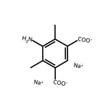 Cc1c(C(=O)[O-])cc(C(=O)[O-])c(C)c1N.[Na+].[Na+]